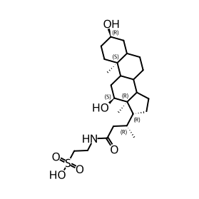 C[C@H](CC(=O)NCCS(=O)(=O)O)[C@H]1CCC2C3CCC4C[C@H](O)CC[C@]4(C)C3C[C@H](O)[C@@]21C